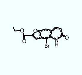 CCOC(=O)c1cc2c(Br)c3[nH]c(=O)ccc3cc2o1